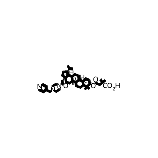 C=C(C)[C@@H]1CC[C@]2(CC(=O)N3CCN(Cc4ccncc4)CC3)CC[C@]3(C)[C@H](CC[C@@H]4[C@@]5(C)CC[C@H](OC(=O)CC(C)(C)C(=O)O)C(C)(C)C5CC[C@]43C)[C@@H]12